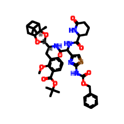 COc1c(C[C@H](NC(=O)C(NC(=O)C2CCCC(=O)N2)c2csc(NC(=O)OCc3ccccc3)n2)B2OC3CC4CC(C4(C)C)[C@]3(C)O2)cccc1C(=O)OC(C)(C)C